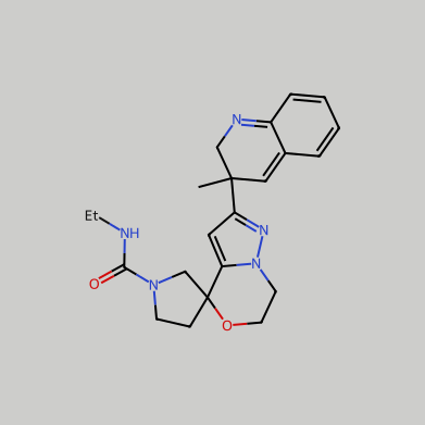 CCNC(=O)N1CCC2(C1)OCCn1nc(C3(C)C=c4ccccc4=NC3)cc12